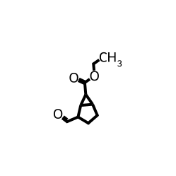 CCOC(=O)C1C2CCC(C=O)C21